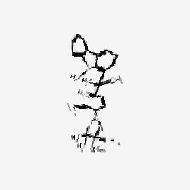 C=CC(/C=C\C(=C)C(C)(C)c1cccc2c3ccccc3n(C)c12)B1OC(C)(C)C(C)(C)O1